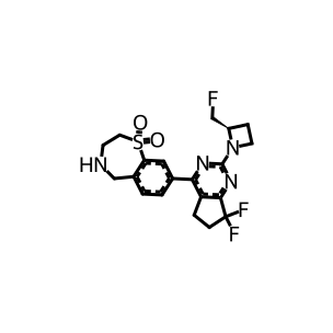 O=S1(=O)CCNCc2ccc(-c3nc(N4CC[C@@H]4CF)nc4c3CCC4(F)F)cc21